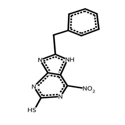 O=[N+]([O-])c1nc(S)nc2nc(Cc3ccccc3)[nH]c12